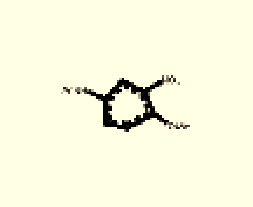 COc1ccc(NC(C)=O)cc1[N+](=O)[O-]